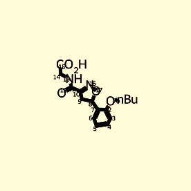 CCCCOc1ccccc1C1CC(C(=O)NCC(=O)O)=NO1